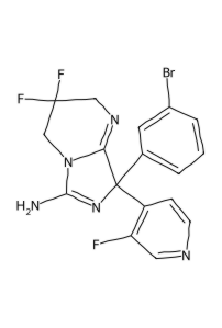 NC1=NC(c2cccc(Br)c2)(c2ccncc2F)C2=NCC(F)(F)CN12